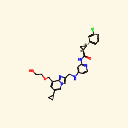 O=C(Nc1cc(NCc2cn3cc(C4CC4)cc(COCCO)c3n2)ccn1)[C@H]1C[C@@H]1c1cccc(Cl)c1